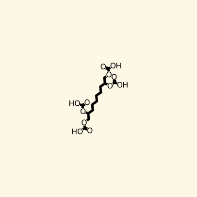 O=C(O)OCC(CCCCCCC(COC(=O)O)OC(=O)O)OC(=O)O